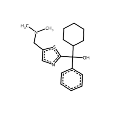 CN(C)Cc1cnc(C(O)(c2ccccc2)C2CCCCC2)s1